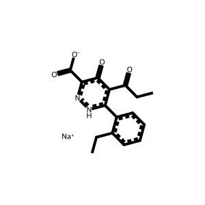 CCC(=O)c1c(-c2ccccc2CC)[nH]nc(C(=O)[O-])c1=O.[Na+]